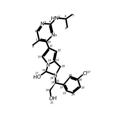 Cc1cnc(NC(C)C)nc1-c1cc2n(c1)C(O)N([C@H](CO)c1cccc(Cl)c1)C2